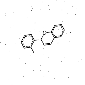 Cc1ccccc1[C@H]1C=Cc2ccccc2O1